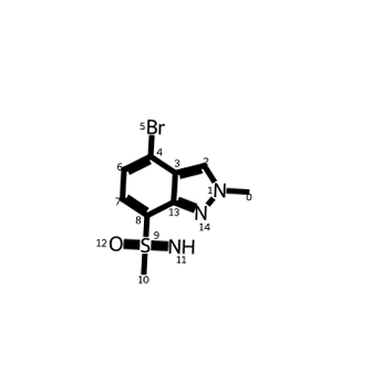 Cn1cc2c(Br)ccc(S(C)(=N)=O)c2n1